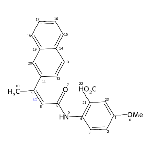 COc1ccc(NC(=O)/C=C(/C)c2ccc3ccccc3c2)c(C(=O)O)c1